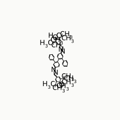 CC(C)(C)C1=CC(=C/N=N/c2ccc(-c3ccc(/N=N/C=C4C=C(C(C)(C)C)C(=O)C(C(C)(C)C)=C4)cc3-c3ccccc3)c(-c3ccccc3)c2)C=C(C(C)(C)C)C1=O